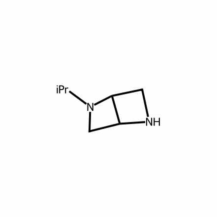 CC(C)N1CC2NCC21